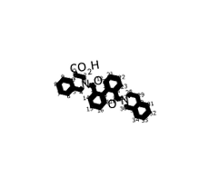 O=C(O)CCN(Cc1ccccc1)C(=O)c1ccccc1-c1ccccc1C(=O)N1CCc2ccccc2C1